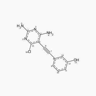 Nc1nc(N)c(C#Cc2cccc(O)c2)c(Cl)n1